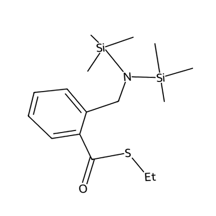 CCSC(=O)c1ccccc1CN([Si](C)(C)C)[Si](C)(C)C